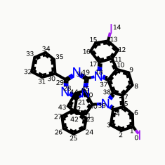 Ic1ccc2c(c1)c1ccc3c4cc(I)ccc4n(-c4nc(-c5ccccc5)nc(-c5ccccc5)n4)c3c1n2-c1ccccc1